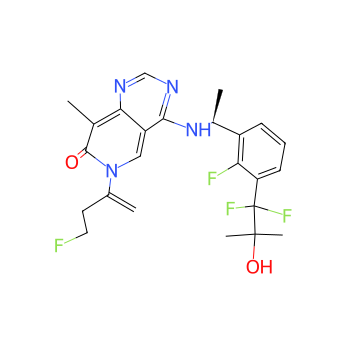 C=C(CCF)n1cc2c(N[C@@H](C)c3cccc(C(F)(F)C(C)(C)O)c3F)ncnc2c(C)c1=O